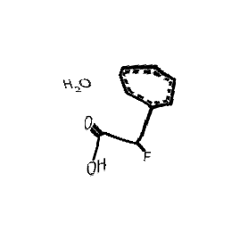 O.O=C(O)C(F)c1ccccc1